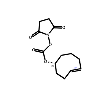 O=C(O[C@H]1CC/C=C/CCC1)ON1C(=O)CCC1=O